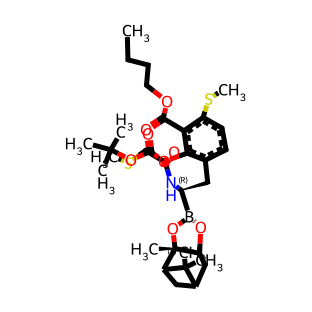 CCCCOC(=O)c1c(SC)ccc(C[C@H](NC(=O)CSC)B2OC3CC4CC(C4(C)C)[C@]3(C)O2)c1OC(=O)OC(C)(C)C